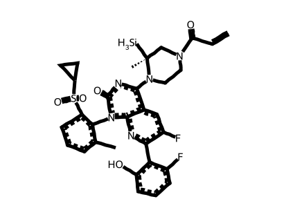 C=CC(=O)N1CCN(c2nc(=O)n(-c3c(C)cccc3S(=O)(=O)C3CC3)c3nc(-c4c(O)cccc4F)c(F)cc23)[C@@](C)([SiH3])C1